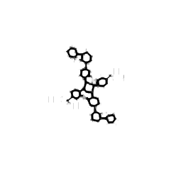 CC(C)c1ccc2c3c4c5ccc(-c6cccc7c6oc6ccccc67)cc5n5c6cc(C(C)C)ccc6c(c6c7ccc(-c8cccc9c8oc8ccccc89)cc7n(c2c1)c63)c45